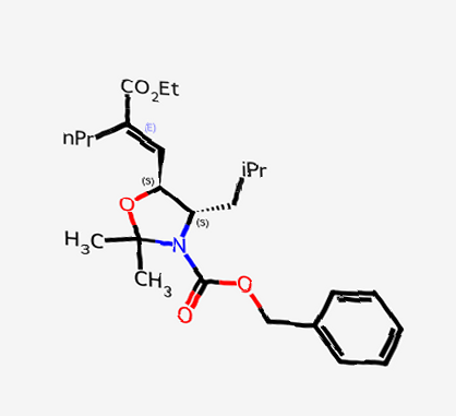 CCC/C(=C\[C@@H]1OC(C)(C)N(C(=O)OCc2ccccc2)[C@H]1CC(C)C)C(=O)OCC